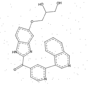 O=C(c1ccnc(-c2cncc3ccccc23)c1)c1nc2cc(OCC(O)CO)ccc2[nH]1